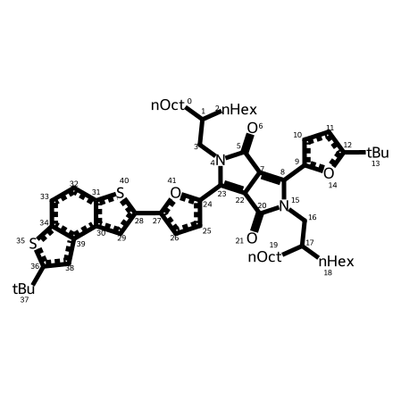 CCCCCCCCC(CCCCCC)CN1C(=O)C2=C(c3ccc(C(C)(C)C)o3)N(CC(CCCCCC)CCCCCCCC)C(=O)C2=C1c1ccc(-c2cc3c(ccc4sc(C(C)(C)C)cc43)s2)o1